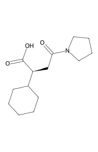 O=C(O)[C@@H](CC(=O)N1CCCC1)C1CCCCC1